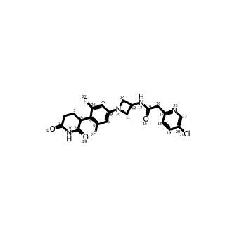 O=C1CCC(c2c(F)cc(N3CC(NC(=O)Cc4ccc(Cl)cn4)C3)cc2F)C(=O)N1